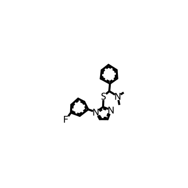 CN(C)C(Sc1nccn1-c1cccc(F)c1)c1ccccc1